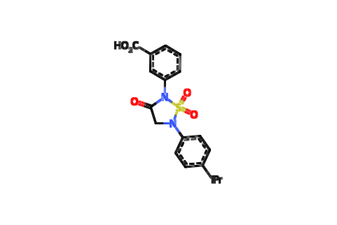 CC(C)c1ccc(N2CC(=O)N(c3cccc(C(=O)O)c3)S2(=O)=O)cc1